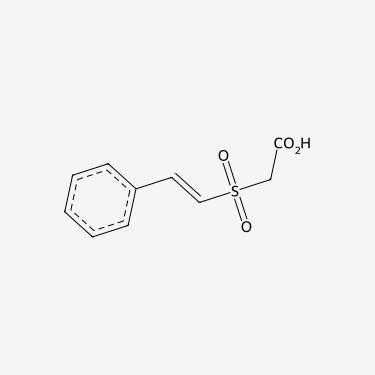 O=C(O)CS(=O)(=O)/C=C/c1ccccc1